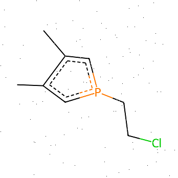 Cc1cp(CCCl)cc1C